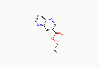 C=CCOC(=O)c1cnc2cccnc2c1